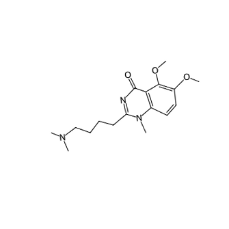 COc1ccc2c(c1OC)c(=O)nc(CCCCN(C)C)n2C